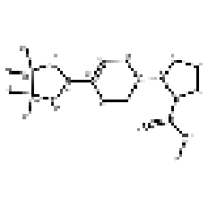 COC(=O)C1CCCN1C1CC=C(B2OC(C)(C)C(C)(C)O2)CC1